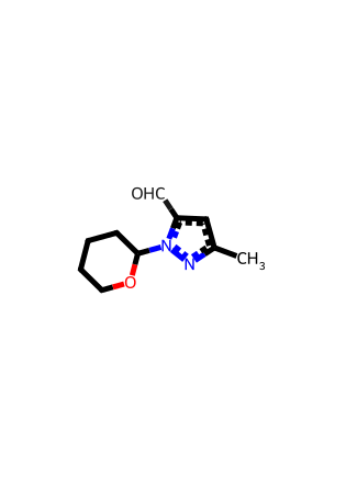 Cc1cc(C=O)n(C2CCCCO2)n1